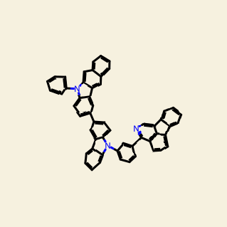 c1ccc(-n2c3ccc(-c4ccc5c(c4)c4ccccc4n5-c4cccc(-c5ncc6c7c(cccc57)-c5ccccc5-6)c4)cc3c3cc4ccccc4cc32)cc1